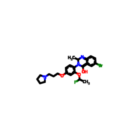 CC(F)Oc1cc(OCCCN2CCCC2)ccc1N1C(O)=c2cc(Br)ccc2=NC1C